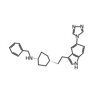 c1ccc(CN[C@H]2CC[C@@H](CCc3c[nH]c4ccc(-n5cnnc5)cc34)CC2)cc1